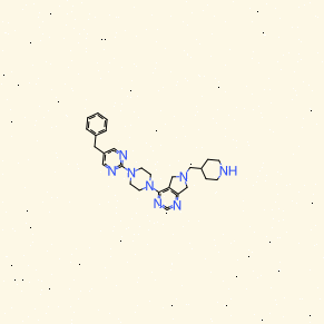 c1ccc(Cc2cnc(N3CCN(c4ncnc5c4CN(CC4CCNCC4)C5)CC3)nc2)cc1